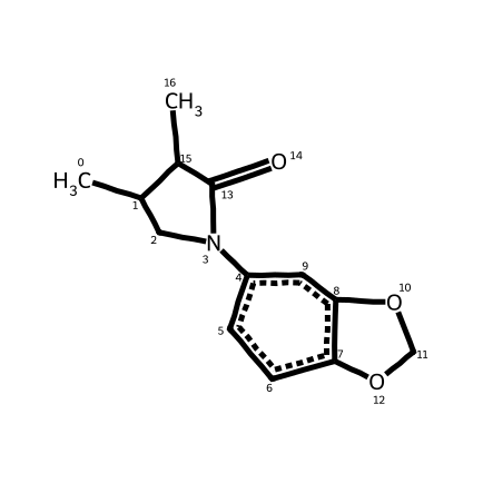 CC1CN(c2ccc3c(c2)OCO3)C(=O)C1C